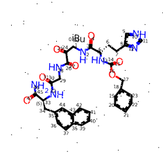 CC[C@H](C)C(NC(=O)[C@H](CCc1c[nH]cn1)NC(=O)OCc1ccccc1)C(=O)C(=O)NCC(=O)N[C@@H](Cc1ccc2ccccc2c1)C(N)=O